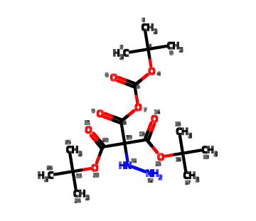 CC(C)(C)OC(=O)OC(=O)C(NN)(C(=O)OC(C)(C)C)C(=O)OC(C)(C)C